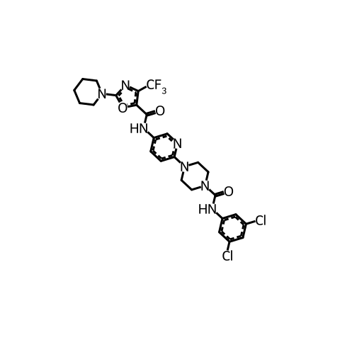 O=C(Nc1ccc(N2CCN(C(=O)Nc3cc(Cl)cc(Cl)c3)CC2)nc1)c1oc(N2CCCCC2)nc1C(F)(F)F